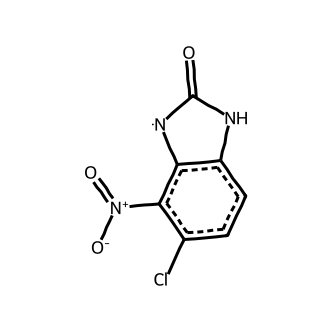 O=C1[N]c2c(ccc(Cl)c2[N+](=O)[O-])N1